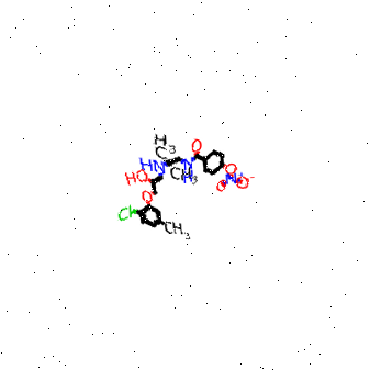 Cc1ccc(Cl)c(OCC(O)CNC(C)(C)CNC(=O)C2CCC(O[N+](=O)[O-])CC2)c1